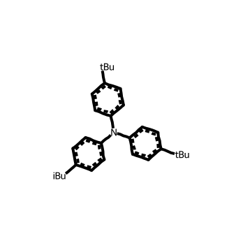 CCC(C)c1ccc(N(c2ccc(C(C)(C)C)cc2)c2ccc(C(C)(C)C)cc2)cc1